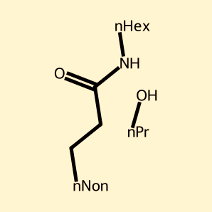 CCCCCCCCCCCC(=O)NCCCCCC.CCCO